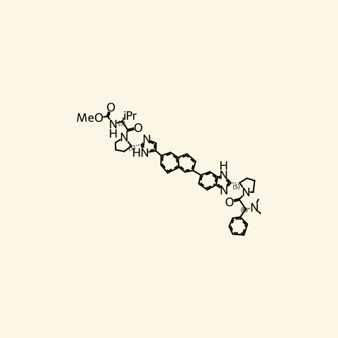 COC(=O)N[C@H](C(=O)N1CCC[C@H]1c1ncc(-c2ccc3cc(-c4ccc5nc([C@@H]6CCCN6C(=O)[C@@H](c6ccccc6)N(C)C)[nH]c5c4)ccc3c2)[nH]1)C(C)C